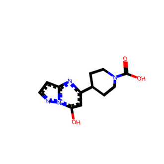 O=C(O)N1CCC(c2cc(O)n3nccc3n2)CC1